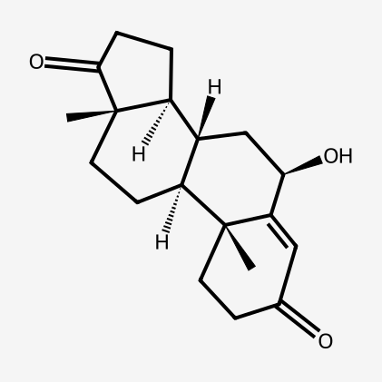 C[C@]12CCC(=O)C=C1[C@H](O)C[C@@H]1[C@@H]2CC[C@]2(C)C(=O)CC[C@@H]12